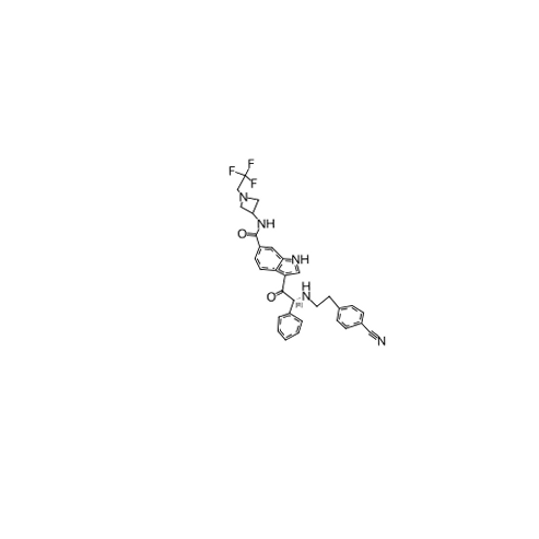 N#Cc1ccc(CCN[C@@H](C(=O)c2c[nH]c3cc(C(=O)NC4CN(CC(F)(F)F)C4)ccc23)c2ccccc2)cc1